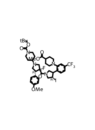 COC(=O)C1CCN(c2cc(C(F)(F)F)ccc2C2CN(C(=O)[C@]3(F)CN(C4CCN(C(=O)OC(C)(C)C)CC4)C[C@H]3c3ccc(OC)cc3)C[C@@H]2I)CC1